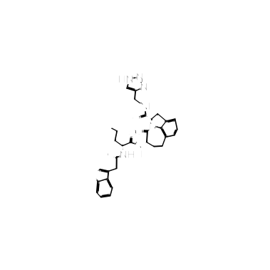 CC[C@@H](C)[C@H](NC(=O)Cc1csc2ccccc12)C(=O)N[C@H]1CCc2cccc3c2N(C1=O)[C@H](C(=O)NCc1c[nH]nn1)C3